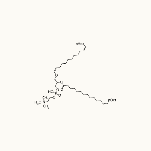 CCCCCC/C=C\CCCCCCCC/C=C\OC[C@H](COP(=O)(O)OCC[N+](C)(C)C)OC(=O)CCCCCCCCCCC/C=C\CCCCCCCC